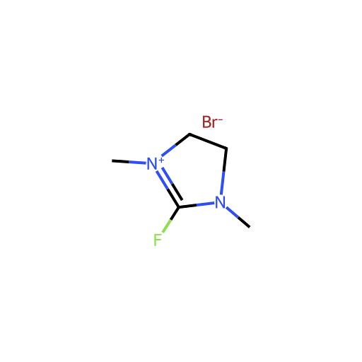 CN1CC[N+](C)=C1F.[Br-]